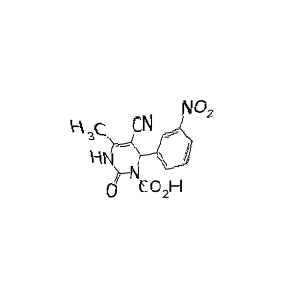 CC1=C(C#N)C(c2cccc([N+](=O)[O-])c2)N(C(=O)O)C(=O)N1